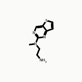 CN(CCN)c1ncc2sccc2n1